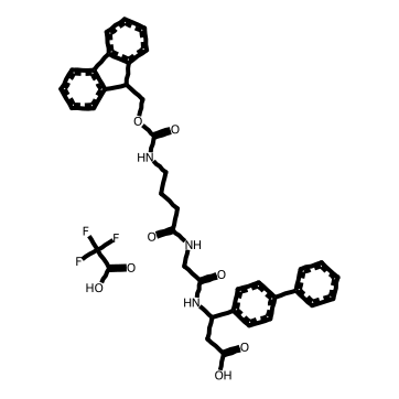 O=C(O)C(F)(F)F.O=C(O)CC(NC(=O)CNC(=O)CCCNC(=O)OCC1c2ccccc2-c2ccccc21)c1ccc(-c2ccccc2)cc1